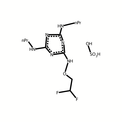 CCCNc1nc(NCCC)nc(NOCC(F)F)n1.O=S(=O)(O)O